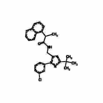 CC(C(=O)NCc1cc(C(C)(C)C)nn1-c1cccc(Cl)c1)c1cccc2ccccc12